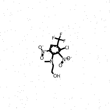 CN(CCO)c1c([N+](=O)[O-])cc(C(F)(F)F)c(Cl)c1[N+](=O)[O-]